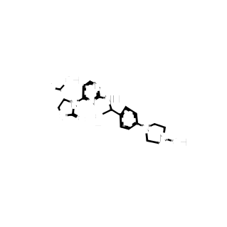 CC(Nc1nccc(N2C(=O)OC[C@@H]2C(C)C)n1)c1ccc(N2CCN(C)CC2)cc1